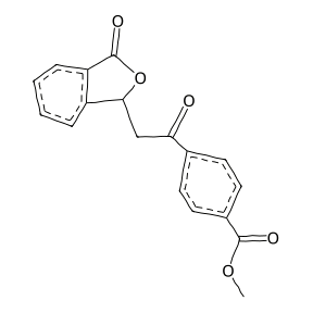 COC(=O)c1ccc(C(=O)CC2OC(=O)c3ccccc32)cc1